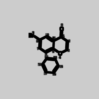 O=c1ccoc2ccc(Br)cc12.c1ccccc1